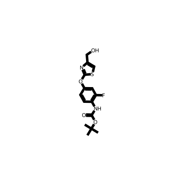 CC(C)(C)OC(=O)Nc1ccc(Oc2nc(CO)cs2)cc1F